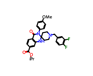 COc1ccc(N2C(=O)c3ccc(C(=O)OC(C)C)cc3NC23CCN(Cc2ccc(F)c(F)c2)CC3)cc1